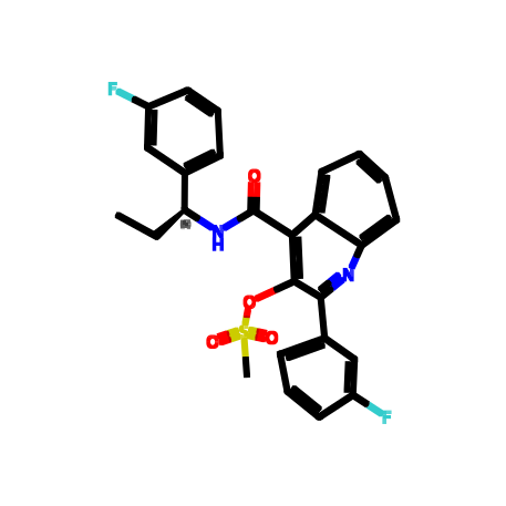 CC[C@H](NC(=O)c1c(OS(C)(=O)=O)c(-c2cccc(F)c2)nc2ccccc12)c1cccc(F)c1